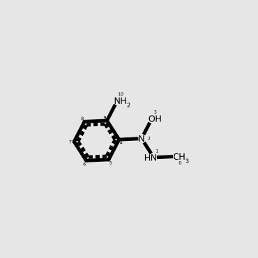 CNN(O)c1ccccc1N